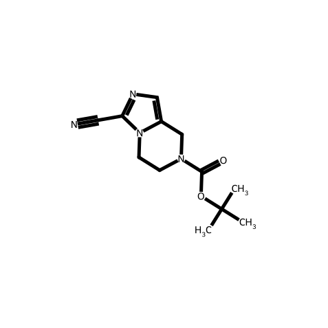 CC(C)(C)OC(=O)N1CCn2c(cnc2C#N)C1